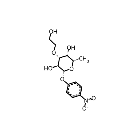 C[C@@H]1O[C@H](Oc2ccc([N+](=O)[O-])cc2)[C@@H](O)[C@H](OCCO)[C@@H]1O